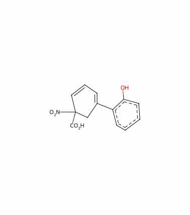 O=C(O)C1([N+](=O)[O-])C=CC=C(c2ccccc2O)C1